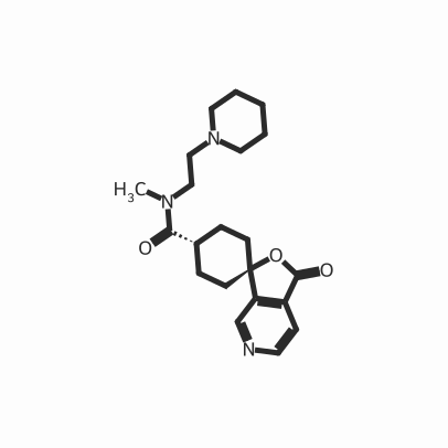 CN(CCN1CCCCC1)C(=O)[C@H]1CC[C@@]2(CC1)OC(=O)c1ccncc12